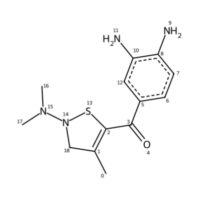 CC1=C(C(=O)c2ccc(N)c(N)c2)SN(N(C)C)C1